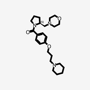 O=C(c1ccc(OCCCN2CCCCC2)cc1)N1CCC[C@H]1CN1CCOCC1